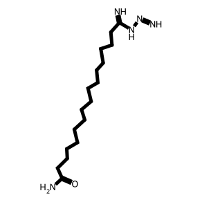 N=NNC(=N)CCCCCCCCCCCCCCCC(N)=O